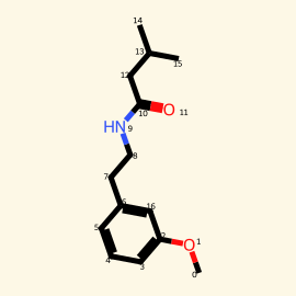 COc1cccc(CCNC(=O)CC(C)C)c1